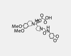 COc1cc2c(cc1OC)CN(C(=O)C1CCCN(CC(=O)Nc3ccc4c(c3)OCO4)C1)CC2.O=C(O)C(=O)O